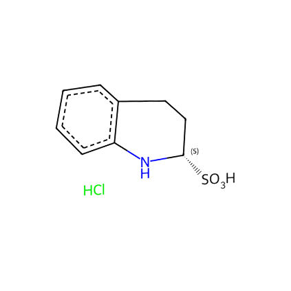 Cl.O=S(=O)(O)[C@H]1CCc2ccccc2N1